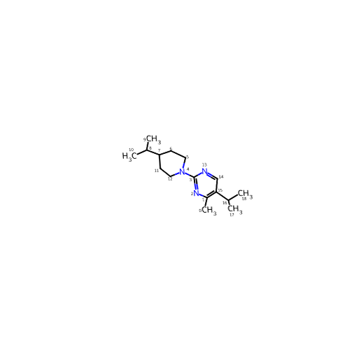 Cc1nc(N2CCC(C(C)C)CC2)ncc1C(C)C